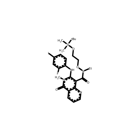 CCN(OCCO[Si](C)(C)C(C)(C)C)C(=O)c1c(Nc2ccc(I)cc2F)n(C)c(=O)c2cccnc12